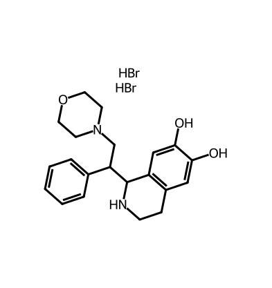 Br.Br.Oc1cc2c(cc1O)C(C(CN1CCOCC1)c1ccccc1)NCC2